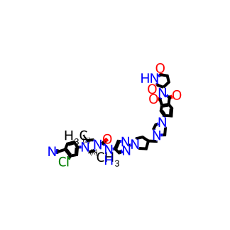 C[C@@H]1CN(c2ccc(C#N)c(Cl)c2)[C@@H](C)CN1C(=O)Nc1cnc(N2CCC(CN3CCN(c4ccc5c(c4)C(=O)N(C4CCC(=O)NC4=O)C5=O)CC3)CC2)nc1